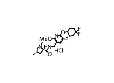 COc1nc(OC2CCC(F)(F)CC2)c(F)cc1CNC(=O)[C@@H]1C[C@@H](C)CN1C.Cl